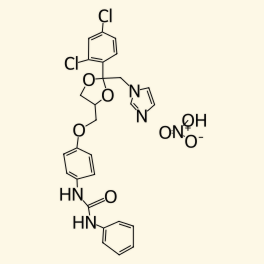 O=C(Nc1ccccc1)Nc1ccc(OCC2COC(Cn3ccnc3)(c3ccc(Cl)cc3Cl)O2)cc1.O=[N+]([O-])O